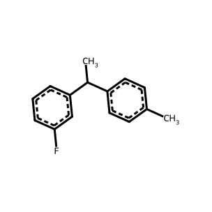 Cc1ccc(C(C)c2cccc(F)c2)cc1